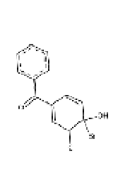 O=C(C1=CC(Cl)C(O)(Br)C=C1)c1ccccc1